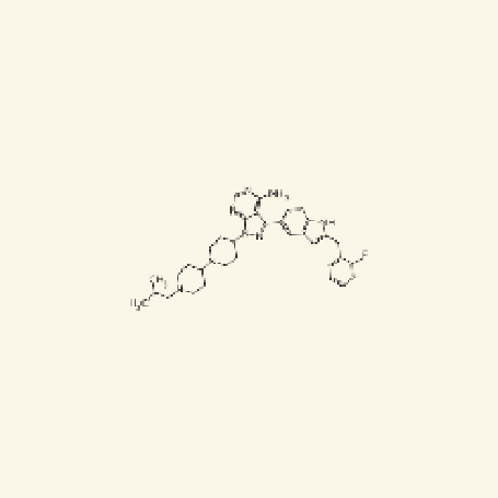 CC(C)CN1CCC(N2CCC(n3nc(-c4ccc5[nH]c(Cc6ccccc6F)cc5c4)c4c(N)ncnc43)CC2)CC1